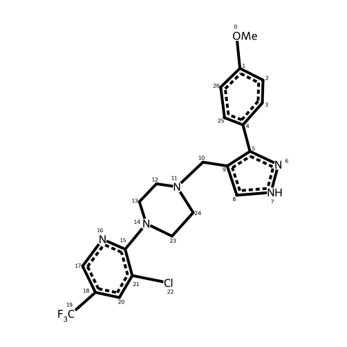 COc1ccc(-c2n[nH]cc2CN2CCN(c3ncc(C(F)(F)F)cc3Cl)CC2)cc1